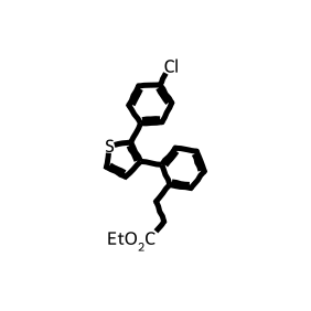 CCOC(=O)CCc1ccccc1-c1ccsc1-c1ccc(Cl)cc1